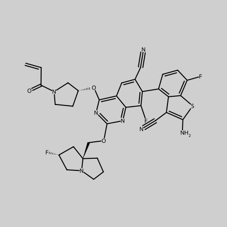 C=CC(=O)N1CC[C@@H](Oc2nc(OC[C@@]34CCCN3C[C@H](F)C4)nc3c(F)c(-c4ccc(F)c5sc(N)c(C#N)c45)c(C#N)cc23)C1